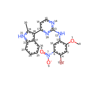 COc1cc(Br)c([N+](=O)[O-])cc1Nc1nccc(-c2c(C)[nH]c3ccccc23)n1